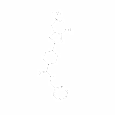 COC(=O)Cc1nc(C2CCC(C(=O)OCc3ccccc3)CC2)oc1C